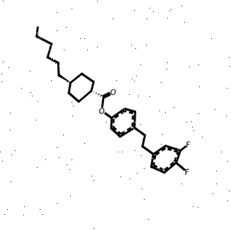 CCCCCC[C@H]1CC[C@H](C(=O)Oc2ccc(CCc3ccc(F)c(F)c3)cc2)CC1